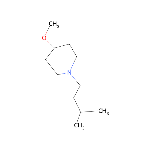 COC1CCN(CCC(C)C)CC1